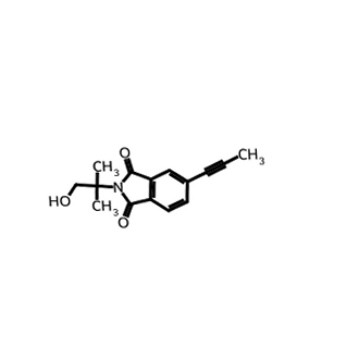 CC#Cc1ccc2c(c1)C(=O)N(C(C)(C)CO)C2=O